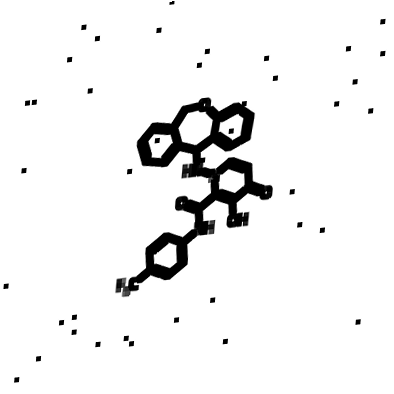 O=C(Nc1ccc(C(F)(F)F)cc1)c1c(O)c(=O)ccn1NC1c2ccccc2COc2ccccc21